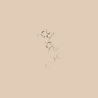 O=C(CC1CCCCC1)N1CCCCC1CNc1nc(-c2c[nH]c3ncc(Cl)cc23)ncc1F